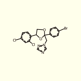 Clc1ccc(C2COC(Cn3cncn3)(c3ccc(Br)cc3)O2)c(Cl)c1